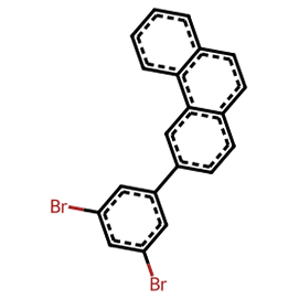 Brc1cc(Br)cc(-c2ccc3ccc4ccccc4c3c2)c1